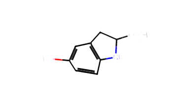 O=C(O)C1Cc2cc(O)ccc2N1